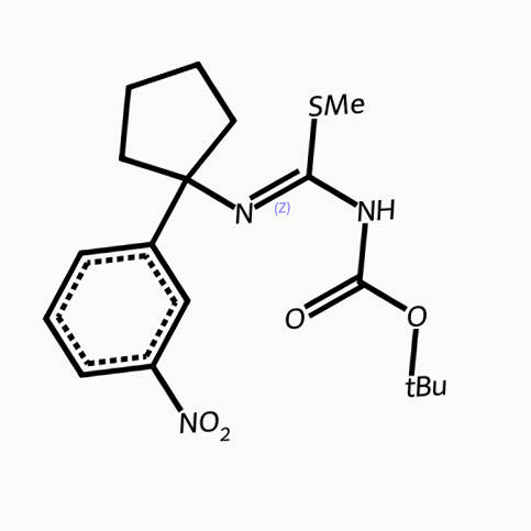 CS/C(=N\C1(c2cccc([N+](=O)[O-])c2)CCCC1)NC(=O)OC(C)(C)C